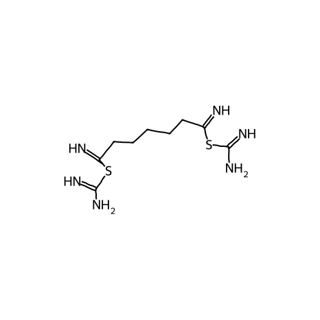 N=C(N)SC(=N)CCCCCC(=N)SC(=N)N